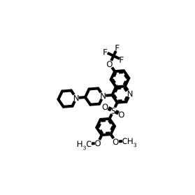 COc1ccc(S(=O)(=O)c2cnc3ccc(OC(F)(F)F)cc3c2N2CCC(N3CCCCC3)CC2)cc1OC